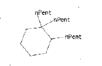 CCCCCC1CCCCC1(CCCCC)CCCCC